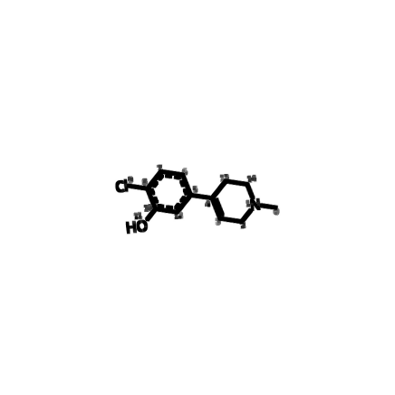 CN1CC=C(c2ccc(Cl)c(O)c2)CC1